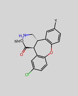 COC(=O)[C@@H]1c2cc(Cl)ccc2Oc2cc[c]([Y])cc2[C@H]1CN